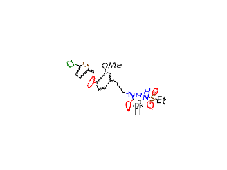 CCS(=O)(=O)NC(C(=O)NCCc1ccc(OCc2ccc(Cl)s2)c(OC)c1)C(C)C